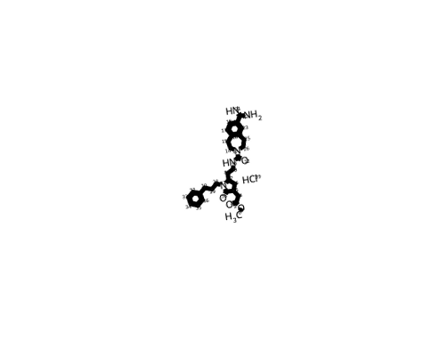 COC(=O)CC1CC(CCNC(=O)N2CCc3ccc(C(=N)N)cc3CC2)N(CCCc2ccccc2)C1=O.Cl